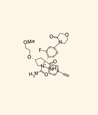 C#Cc1ccc([N+]2(C(N)=O)C[C@H](OCCOC)C[C@]2(C(N)=O)c2ccc(N3CCOCC3=O)cc2F)cc1